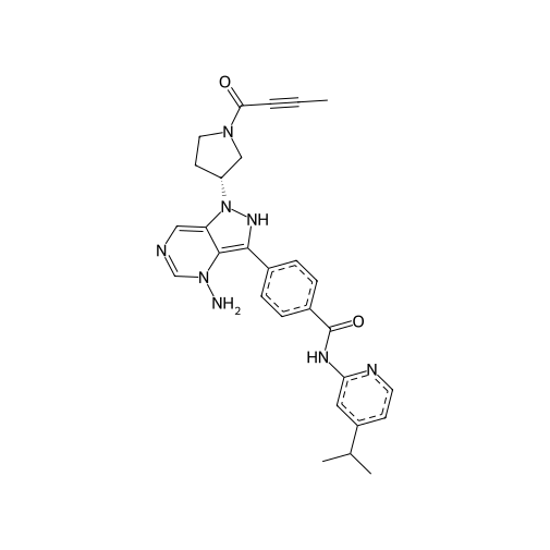 CC#CC(=O)N1CC[C@@H](N2NC(c3ccc(C(=O)Nc4cc(C(C)C)ccn4)cc3)=C3C2=CN=CN3N)C1